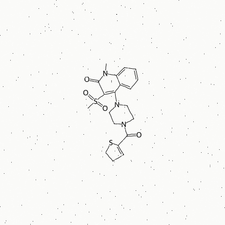 Cn1c(=O)c(S(C)(=O)=O)c(N2CCN(C(=O)C3=CCCS3)CC2)c2ccccc21